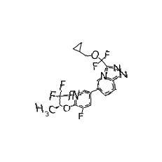 C[C@H](Oc1ncc(-c2ccc3nnc(C(F)(F)OCC4CC4)n3c2)cc1F)C(F)(F)F